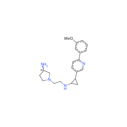 COc1cccc(-c2ccc(C3CC3NCCN3CC[C@@H](N)C3)cn2)c1